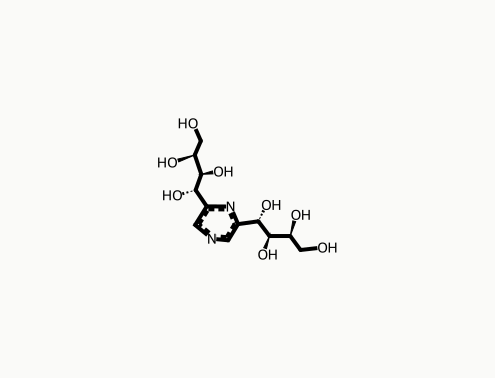 OC[C@H](O)[C@@H](O)[C@@H](O)c1cncc([C@H](O)[C@H](O)[C@@H](O)CO)n1